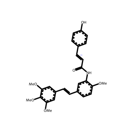 COc1ccc(C=Cc2cc(OC)c(OC)c(OC)c2)cc1NC(=O)/C=C/c1ccc(O)cc1